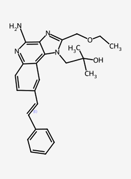 CCOCc1nc2c(N)nc3ccc(/C=C/c4ccccc4)cc3c2n1CC(C)(C)O